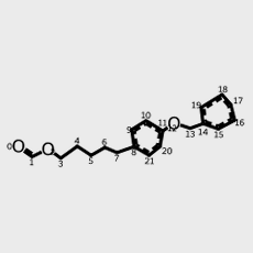 O=COCCCCCc1ccc(OCc2ccccc2)cc1